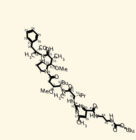 CC[C@H](C)[C@@H]([C@@H](CC(=O)N1CCC[C@H]1[C@H](OC)[C@@H](C)C(=O)N[C@@](C)(Cc1ccccc1)C(=O)O)OC)N(C)C(=O)[C@@H](Nc1nc(C)cc(C(=O)NCCNC(=O)OC(C)(C)C)n1)C(C)C